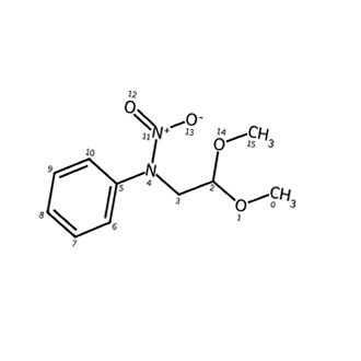 COC(CN(c1ccccc1)[N+](=O)[O-])OC